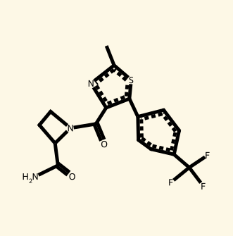 Cc1nc(C(=O)N2CCC2C(N)=O)c(-c2ccc(C(F)(F)F)cc2)s1